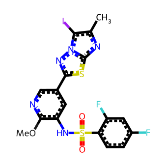 COc1ncc(-c2nn3c(I)c(C)nc3s2)cc1NS(=O)(=O)c1ccc(F)cc1F